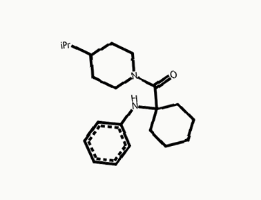 CC(C)C1CCN(C(=O)C2(Nc3ccccc3)CCCCC2)CC1